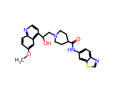 COc1ccc2nccc(C(O)CN3CCC(C(=O)Nc4ccc5ncsc5c4)CC3)c2c1